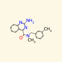 Cc1cccc(CN(C)C(=O)c2nc(N)nc3ccccc23)c1